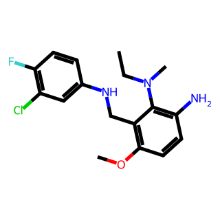 CCN(C)c1c(N)ccc(OC)c1CNc1ccc(F)c(Cl)c1